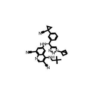 CC(C)(C)CNc1c(C#N)cnc2c(C#N)cc(N[C@@H](c3cccc(C4(C#N)CC4)c3)c3cn(C45CC(C4)C5)nn3)cc12